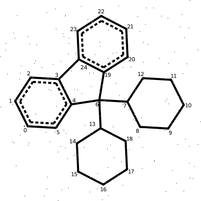 [c]1ccc2c(c1)C(C1CCCCC1)(C1CCCCC1)c1ccccc1-2